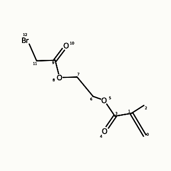 C=C(C)C(=O)OCCOC(=O)CBr